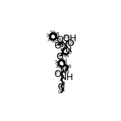 CCOCCNC(=O)n1ccc2cc(Oc3ccnc(N(C(=O)O)C(=O)Oc4ccccc4)c3)ccc21